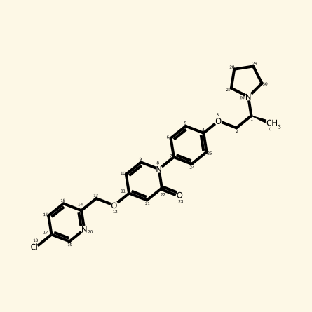 C[C@@H](COc1ccc(-n2ccc(OCc3ccc(Cl)cn3)cc2=O)cc1)N1CCCC1